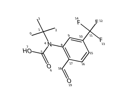 CC(C)(C)N(C(=O)O)c1cc(C(F)(F)F)ccc1C=O